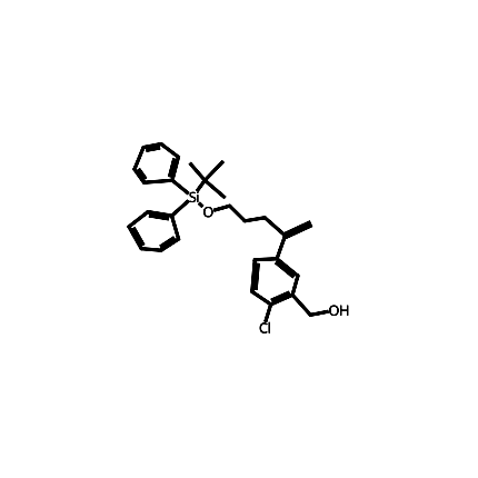 C=C(CCCO[Si](c1ccccc1)(c1ccccc1)C(C)(C)C)c1ccc(Cl)c(CO)c1